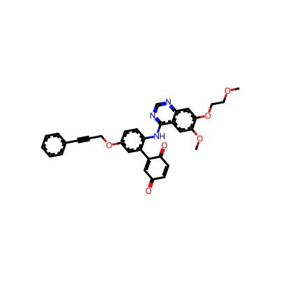 COCCOc1cc2ncnc(Nc3ccc(OCC#Cc4ccccc4)cc3C3=CC(=O)C=CC3=O)c2cc1OC